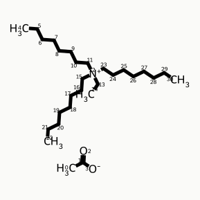 CC(=O)[O-].CCCCCCCC[N+](CC)(CCCCCCCC)CCCCCCCC